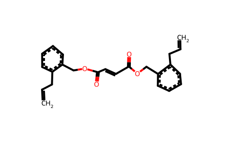 C=CCc1ccccc1COC(=O)/C=C/C(=O)OCc1ccccc1CC=C